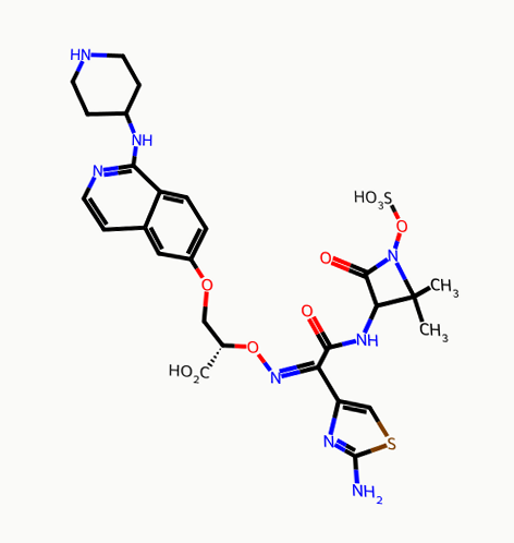 CC1(C)C(NC(=O)/C(=N\O[C@@H](COc2ccc3c(NC4CCNCC4)nccc3c2)C(=O)O)c2csc(N)n2)C(=O)N1OS(=O)(=O)O